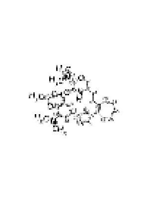 CCC(CCC1=C(c2cnc(-c3ccc(OC(C)C)c(N(C)C)c3)s2)CC=CC=C1)NC(=O)CN(C)C